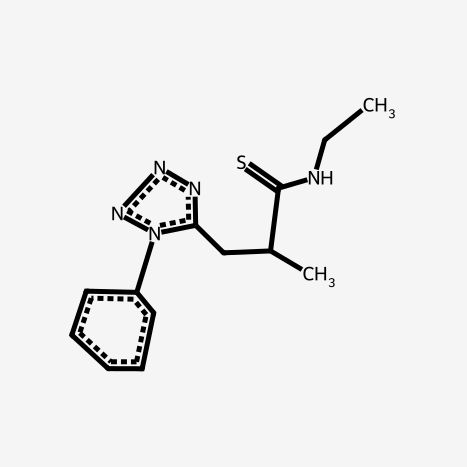 CCNC(=S)C(C)Cc1nnnn1-c1ccccc1